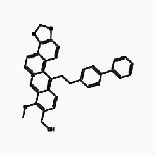 COc1c(CO)ccc2c(CCc3ccc(-c4ccccc4)cc3)c3c4ccc5c(c4cc[n+]3cc12)OCO5